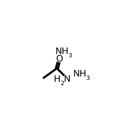 CC(N)=O.N.N